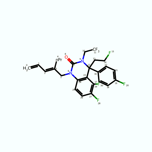 C=C/C=C(\CCC)CN1C(=O)N(CC(F)(F)F)C(CCF)(c2ccc(F)cc2)c2c1ccc(F)c2F